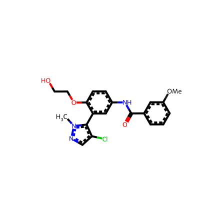 COc1cccc(C(=O)Nc2ccc(OCCO)c(-c3c(Cl)cnn3C)c2)c1